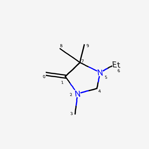 C=C1N(C)CN(CC)C1(C)C